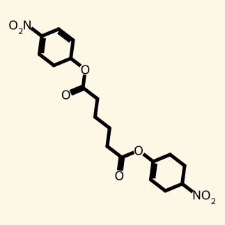 O=C(CCCCC(=O)OC1C=CC([N+](=O)[O-])=CC1)OC1=CCC([N+](=O)[O-])CC1